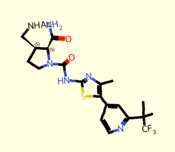 CC(=O)NC[C@@H]1CCN(C(=O)Nc2nc(C)c(-c3ccnc(C(C)(C)C(F)(F)F)c3)s2)[C@@H]1C(N)=O